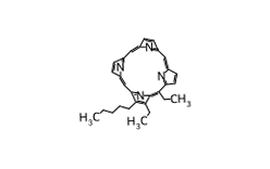 CCCCCC1=C(CC)C2=C(CC)C3=NC(=CC4=NC(=CC5=NC(=CC1=N2)C=C5)C=C4)C=C3